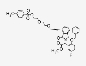 COC(=O)C(c1cc(F)ccc1OCc1ccccc1)N1Cc2cccc(C#CCOCCOCCOS(=O)(=O)c3ccc(C)cc3)c2C1=O